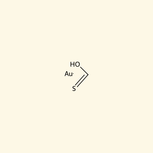 OC=S.[Au]